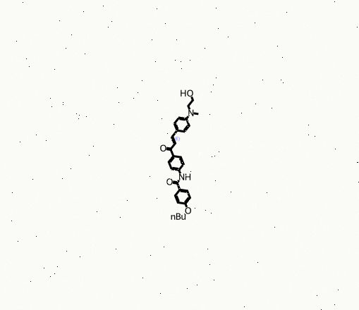 CCCCOc1ccc(C(=O)Nc2ccc(C(=O)/C=C/c3ccc(N(C)CCO)cc3)cc2)cc1